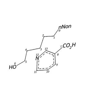 CCCCCCCCCCCCCCO.O=C(O)c1cccnc1